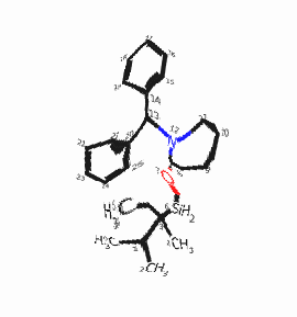 CC(C)C(C)(C)[SiH2]O[C@H]1CCCN1C(c1ccccc1)c1ccccc1